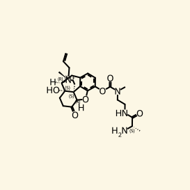 C=CC[N@+]1(C)CC[C@]23c4c5ccc(OC(=O)N(C)CCNC(=O)[C@H](C)N)c4O[C@H]2C(=O)CC[C@@]3(O)[C@H]1C5